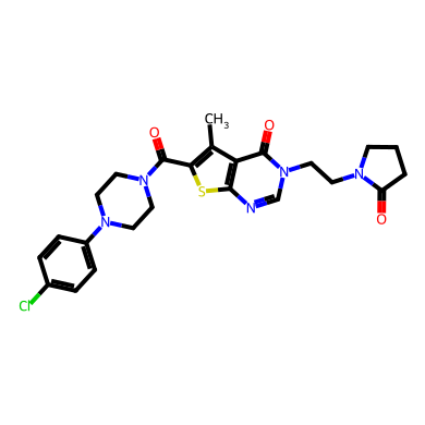 Cc1c(C(=O)N2CCN(c3ccc(Cl)cc3)CC2)sc2ncn(CCN3CCCC3=O)c(=O)c12